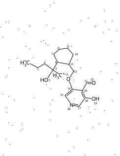 CCCC(C)(O)C1CCCCC1COc1cncc(O)c1C=O